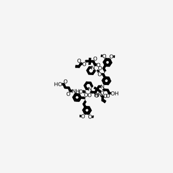 C=CC(=O)NCC(C)(CN(C(=O)CC(=O)O)c1cccc([C@@H](CCc2ccc(OC)c(OC)c2)OC(=O)[C@@H]2CCCCN2C(=O)C(=O)C(C)(C)COC(=O)C=C)c1)C(=O)C(=O)N1CCCC[C@H]1C(=O)O[C@H](CCc1ccc(OC)c(OC)c1)c1cccc(NC(=O)CCC(=O)O)c1